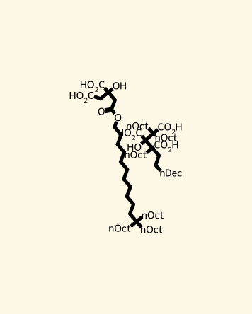 CCCCCCCCC(CCCCCCCC)(CCCCCCCC)CCCCCCCCCCCOC(=O)CC(O)(CC(=O)O)C(=O)O.CCCCCCCCCCCCC(CCCCCCCC)(C(=O)O)C(O)(C(=O)O)C(CCCCCCCC)(CCCCCCCC)C(=O)O